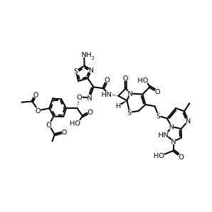 CC(=O)Oc1ccc([C@H](ON=C(C(=O)N[C@@H]2C(=O)N3C(C(=O)O)=C(CSC4=CC(C)=NC5=CN(C(=O)O)NN54)CS[C@H]23)c2csc(N)n2)C(=O)O)cc1OC(C)=O